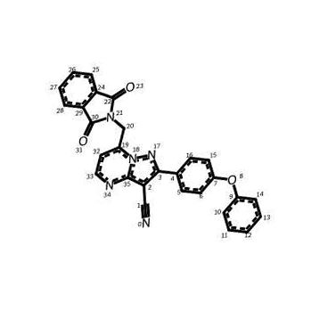 N#Cc1c(-c2ccc(Oc3ccccc3)cc2)nn2c(CN3C(=O)c4ccccc4C3=O)ccnc12